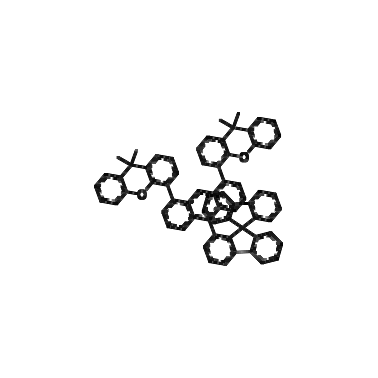 CC1(C)c2ccccc2Oc2c(-c3cccc4c(-c5cccc6c5C5(c7ccccc7-c7ccccc75)c5ccccc5-6)c5cccc(-c6cccc7c6Oc6ccccc6C7(C)C)c5cc34)cccc21